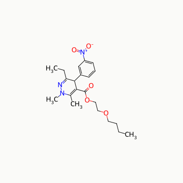 CCCCOCCOC(=O)C1=C(C)N(C)N=C(CC)C1c1cccc([N+](=O)[O-])c1